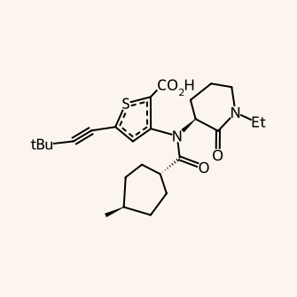 CCN1CCC[C@H](N(c2cc(C#CC(C)(C)C)sc2C(=O)O)C(=O)[C@H]2CC[C@H](C)CC2)C1=O